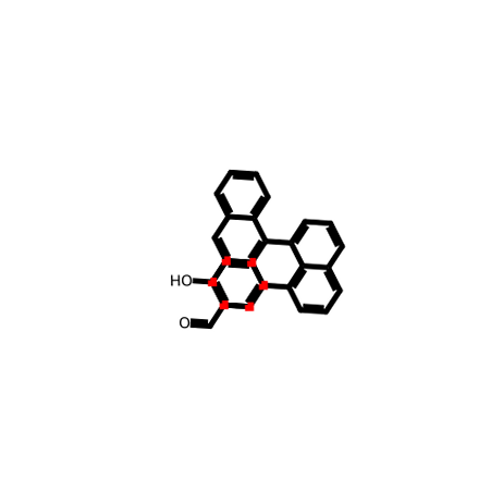 O=Cc1cc(-c2cccc3cccc(-c4c5ccccc5cc5ccccc45)c23)ccc1O